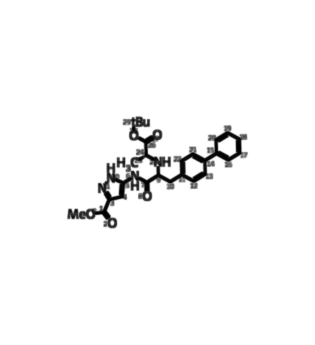 COC(=O)c1cc(NC(=O)C(Cc2ccc(-c3ccccc3)cc2)N[C@@H](C)C(=O)OC(C)(C)C)[nH]n1